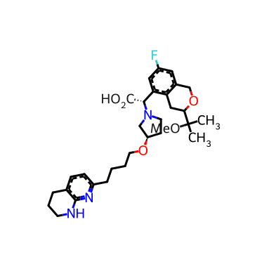 COC(C)(C)C1Cc2c(cc(F)cc2[C@@H](C(=O)O)N2CC[C@@H](OCCCCc3ccc4c(n3)NCCC4)C2)CO1